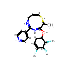 CC1S/C=C\C/N=C(c2ccncc2)\N=C/1OC1CC=C(F)C(F)C1F